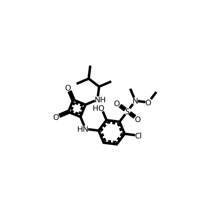 CON(C)S(=O)(=O)c1c(Cl)ccc(Nc2c(NC(C)C(C)C)c(=O)c2=O)c1O